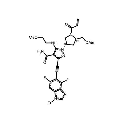 C=CC(=O)N1C[C@@H](n2nc(C#Cc3c(F)cc4c(ncn4CC)c3F)c(C(N)=O)c2NCCOC)C[C@@H]1COC